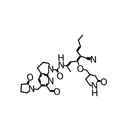 CC/C=C/C(C#N)=C(\C=C(/C)NC(=O)N1CCCc2cc(CN3CCCC3=O)c(C=O)nc21)OCC1CCNC(=O)C1